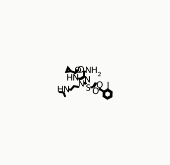 CC(C)NCCCn1c(SC2=COC(c3ccccc3I)O2)nc(C(N)=O)c1NC(=O)C1CC1